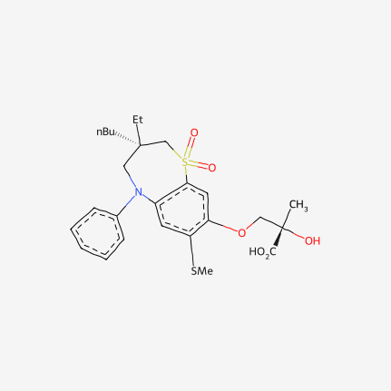 CCCC[C@@]1(CC)CN(c2ccccc2)c2cc(SC)c(OC[C@](C)(O)C(=O)O)cc2S(=O)(=O)C1